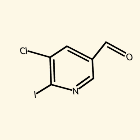 O=Cc1cnc(I)c(Cl)c1